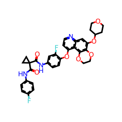 O=C(Nc1ccc(F)cc1)C1(C(=O)Nc2ccc(Oc3ccnc4cc(OC5CCOCC5)c5c(c34)OCCO5)c(F)c2)CC1